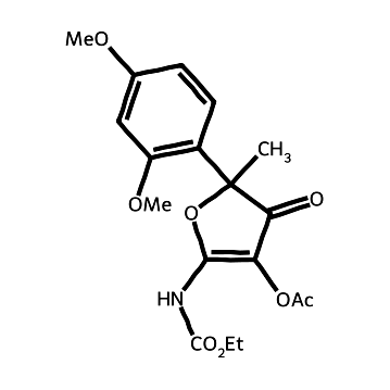 CCOC(=O)NC1=C(OC(C)=O)C(=O)C(C)(c2ccc(OC)cc2OC)O1